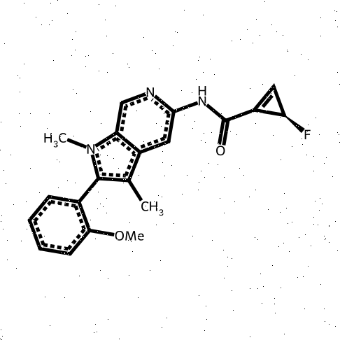 COc1ccccc1-c1c(C)c2cc(NC(=O)C3=C[C@H]3F)ncc2n1C